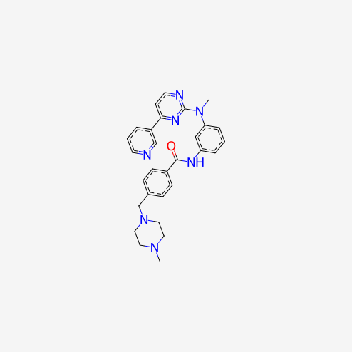 CN1CCN(Cc2ccc(C(=O)Nc3cccc(N(C)c4nccc(-c5cccnc5)n4)c3)cc2)CC1